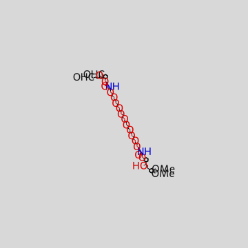 COc1ccc(CCC(O)c2cccc(OCC(=O)NCCOCCOCCOCCOCCOCCOCCOCCOCCOCCOCCOCCNC(=O)COc3cccc(C=O)c3CC(=O)CCCC=O)c2)cc1OC